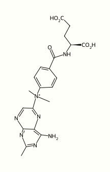 Cc1nc(N)c2nc([N+](C)(C)c3ccc(C(=O)N[C@@H](CCC(=O)O)C(=O)O)cc3)cnc2n1